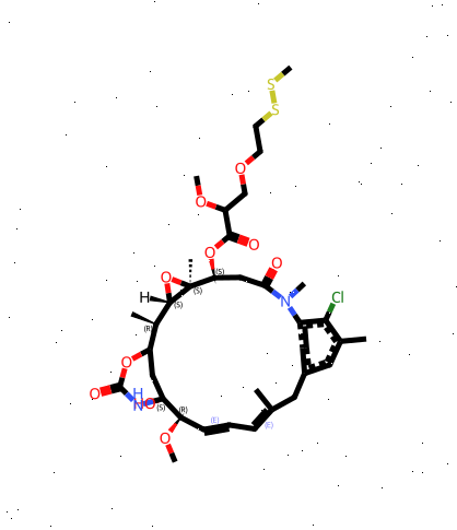 COC(COCCSSC)C(=O)O[C@H]1CC(=O)N(C)c2cc(cc(C)c2Cl)C/C(C)=C/C=C/[C@@H](OC)[C@@]2(O)CC(OC(=O)N2)[C@@H](C)[C@@H]2O[C@@]12C